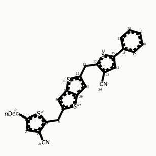 CCCCCCCCCCc1cc(C#N)c(Cc2cc3sc(Cc4sc(-c5ccccc5)cc4C#N)cc3s2)s1